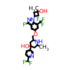 CC1CC(O)(c2ccc(C(F)F)nc2)CC(COc2cc(C(F)(F)F)c3c(c2)c(F)nn3C2CC(C)(O)C2)N1